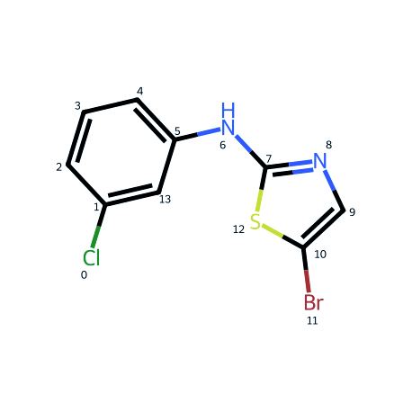 Clc1cccc(Nc2ncc(Br)s2)c1